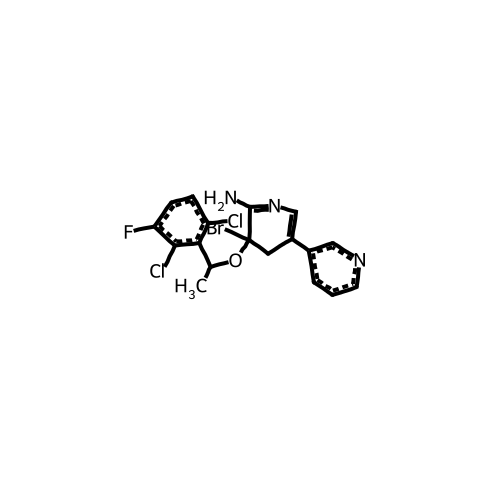 CC(OC1(Br)CC(c2cccnc2)=CN=C1N)c1c(Cl)ccc(F)c1Cl